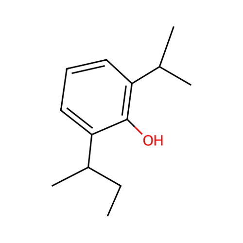 CCC(C)c1cccc(C(C)C)c1O